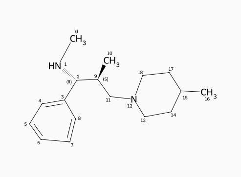 CN[C@@H](c1ccccc1)[C@@H](C)CN1CCC(C)CC1